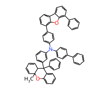 CC12C=CC=CC1C(c1ccccc1)(c1cccc(N(c3ccc(-c4ccccc4)cc3)c3ccc(-c4cccc5c4oc4c(-c6ccccc6)cccc45)cc3)c1)c1ccccc1O2